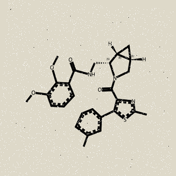 COc1cccc(C(=O)NC[C@@H]2[C@@H]3C[C@@H]3CN2C(=O)c2nc(C)sc2-c2cccc(C)c2)c1OC